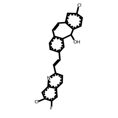 OC1c2ccc(Cl)cc2C=Cc2ccc(/C=C/c3ccc4cc(F)c(Cl)cc4n3)cc21